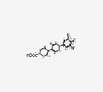 CCCCCCCCCCC1CCC(C2=CCC(c3cc(F)c(F)c(F)c3)C=C2)CC1